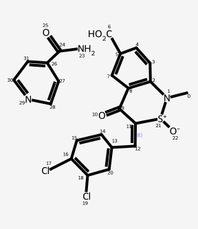 CN1c2ccc(C(=O)O)cc2C(=O)/C(=C\c2ccc(Cl)c(Cl)c2)[S+]1[O-].NC(=O)c1ccncc1